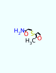 Cc1occc1S/C=C\C(N)=O